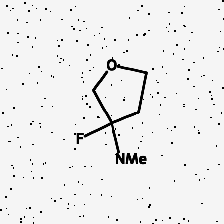 CNC1(F)CCOC1